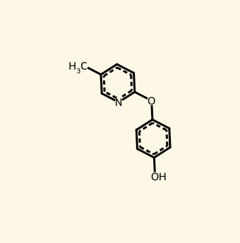 Cc1ccc(Oc2ccc(O)cc2)nc1